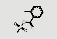 Cc1ccccc1C(=O)OS(C)(=O)=O